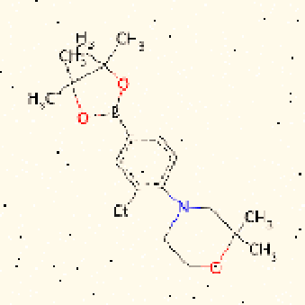 CCc1cc(B2OC(C)(C)C(C)(C)O2)ccc1N1CCOC(C)(C)C1